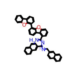 N/C(=N\C(=N/Cc1ccc2ccccc2c1)c1ccc2ccccc2c1)c1cccc2oc3c(-c4cccc5c4oc4ccccc45)cccc3c12